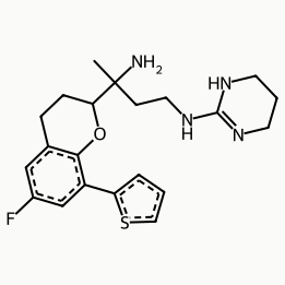 CC(N)(CCNC1=NCCCN1)C1CCc2cc(F)cc(-c3cccs3)c2O1